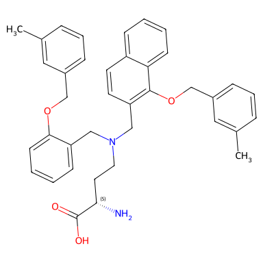 Cc1cccc(COc2ccccc2CN(CC[C@H](N)C(=O)O)Cc2ccc3ccccc3c2OCc2cccc(C)c2)c1